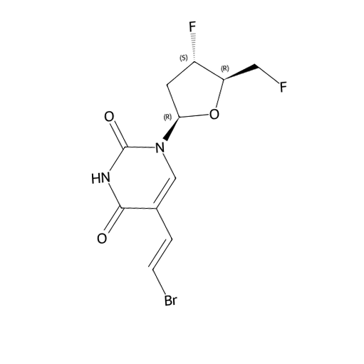 O=c1[nH]c(=O)n([C@H]2C[C@H](F)[C@@H](CF)O2)cc1C=CBr